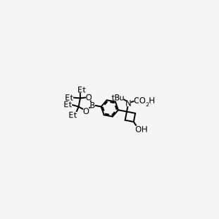 CCC1(CC)OB(c2ccc(C3(N(C(=O)O)C(C)(C)C)CC(O)C3)cc2)OC1(CC)CC